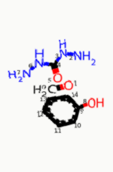 C=O.NNC(=O)NN.Oc1ccccc1